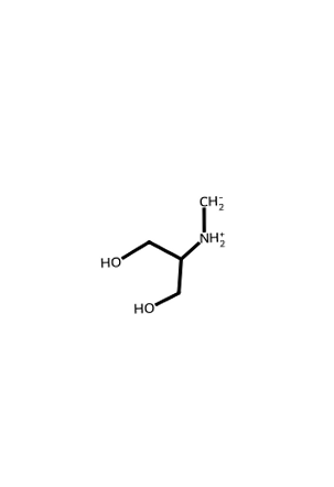 [CH2-][NH2+]C(CO)CO